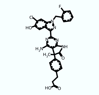 CC1(c2ccc(CCC(=O)O)cc2)C(=O)Nc2nc(-c3nn(Cc4ccccc4F)c4cc(Cl)c(O)cc34)nc(N)c21